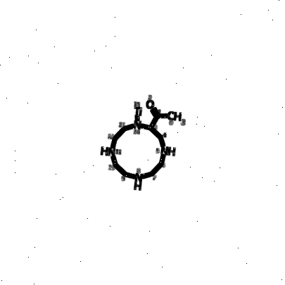 CC(=O)C1CNCCNCCNCC[N]1[Ti]